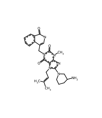 CC(C)=CCn1c(N2CCCC(N)C2)nc2c1c(=O)n(CC1=C[N]C(=O)c3ccccc31)c(=O)n2C